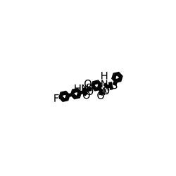 CC(C)(CNc1ccc(S(=O)(=O)NC(=O)c2ccc(-c3ccc(F)cc3)cc2)cc1[N+](=O)[O-])Sc1ccccc1